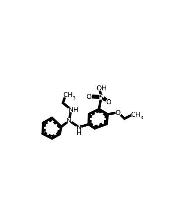 CCNN(Nc1ccc(OCC)c(S(=O)(=O)O)c1)c1ccccc1